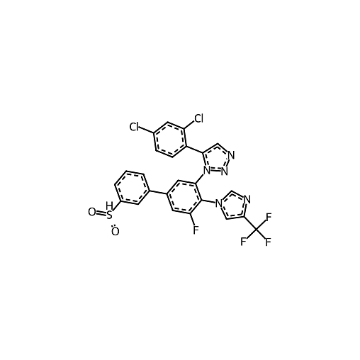 O=[SH](=O)c1cccc(-c2cc(F)c(-n3cnc(C(F)(F)F)c3)c(-n3nncc3-c3ccc(Cl)cc3Cl)c2)c1